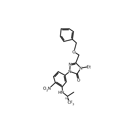 CCn1c(COCc2ccccc2)nn(-c2ccc([N+](=O)[O-])c(N[C@@H](C)C(F)(F)F)c2)c1=O